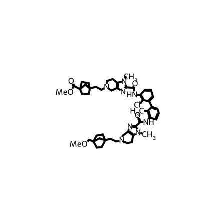 COCC12CCC(CCN3CCc4c(nc(C(=O)Nc5cccc(-c6cccc(NC(=O)c7nc8c(n7C)CCN(CCC79CCC(C(=O)OC)(CC7)C9)C8)c6Cl)c5C)n4C)C3)(CC1)C2